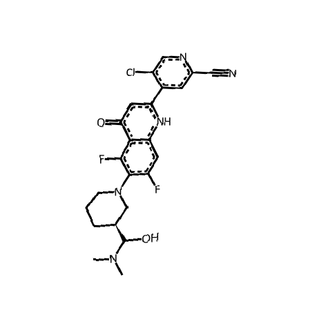 CN(C)C(O)[C@H]1CCCN(c2c(F)cc3[nH]c(-c4cc(C#N)ncc4Cl)cc(=O)c3c2F)C1